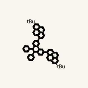 CC(C)(C)c1cc2ccc3ccc(-c4ccc5c(c4)-c4cc(-c6ccc7ccc8cc(C(C)(C)C)cc9ccc6c7c89)ccc4C(c4ccccc4)C5c4ccccc4)c4ccc(c1)c2c34